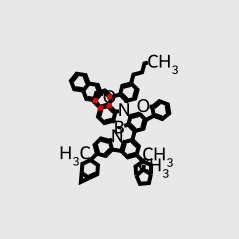 CCCCc1ccc(N2c3c(ccc4c3oc3cc5ccccc5cc34)B3c4c(cc5c(oc6ccccc65)c42)-c2cc(C4(C)CC5CCC(C4)C5C)cc4c5cc(C6(C)CC=C7CC7C6)ccc5n3c24)c(-c2ccccc2)c1